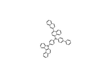 c1ccc(-c2ccc(N(c3ccc(-n4c5ccccc5c5c6ccccc6ccc54)cc3)c3ccc(-c4ccc5ccccc5c4)c4ccccc34)cc2)cc1